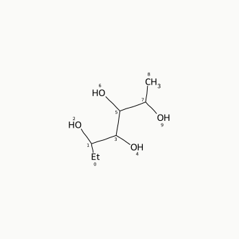 [CH2]CC(O)C(O)C(O)C(C)O